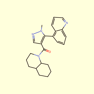 Cn1ncc(C(=O)N2CCCC3CCCCC32)c1-c1cccc2ncccc12